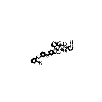 Cc1cc(Oc2cccc(COc3ccccc3C#N)c2)ccc1N1C(=O)Nc2c(C(=O)N[C@@H]3CCCNC3)sc3nccc1c23